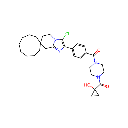 O=C(c1ccc(-c2nc3n(c2Cl)CCC2(CCCCCCCC2)C3)cc1)N1CCN(C(=O)C2(O)CC2)CC1